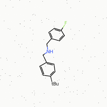 CC(C)(C)c1ccc(CNCc2ccc(F)cc2)cc1